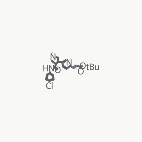 CN1CC(C(=O)Nc2ccc(Cl)cc2)C(c2ccc(/C=C/C(=O)OC(C)(C)C)nc2)C1